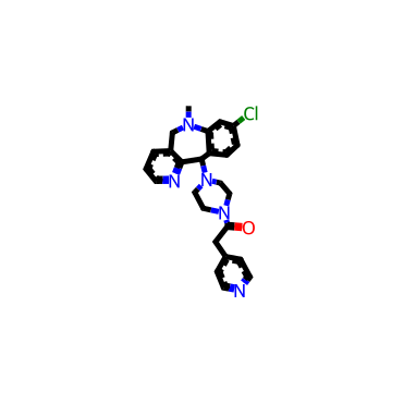 CN1Cc2cccnc2C(N2CCN(C(=O)Cc3ccncc3)CC2)c2ccc(Cl)cc21